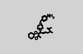 C=C(C)C(C)C/C=C/C(=C(/OC1CCCCC1)C(C)=O)N1CCN(Cc2ccc(N)cc2)CC1